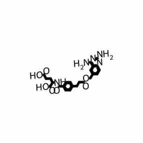 Nc1nc(N)c2cc(COC(=O)CCc3ccc(C(=O)NC(CCC(=O)O)C(=O)O)cc3)ccc2n1